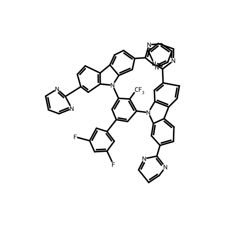 Fc1cc(F)cc(-c2cc(-n3c4cc(-c5ncccn5)ccc4c4ccc(-c5ncccn5)cc43)c(C(F)(F)F)c(-n3c4cc(-c5ncccn5)ccc4c4ccc(-c5ncccn5)cc43)c2)c1